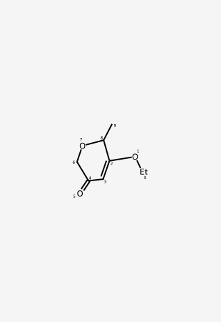 CCOC1=CC(=O)COC1C